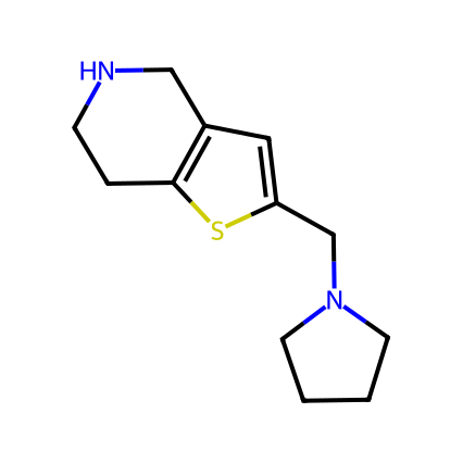 c1c(CN2CCCC2)sc2c1CNCC2